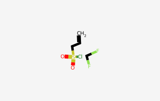 C=CCS(=O)(=O)Cl.FCF